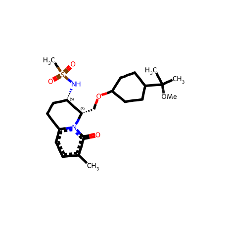 COC(C)(C)C1CCC(OC[C@H]2[C@@H](NS(C)(=O)=O)CCc3ccc(C)c(=O)n32)CC1